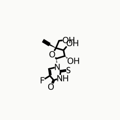 C#C[C@]1(CO)O[C@@H](n2cc(F)c(=O)[nH]c2=S)[C@@H](O)C1O